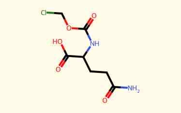 NC(=O)CCC(NC(=O)OCCl)C(=O)O